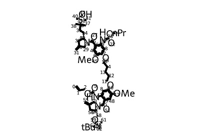 C=CCOC(=O)Nc1cc(OCCCCCOc2cc(NC(=O)OCCC)c(C(=O)N3CC(=C)C[C@H]3CCC(C)(C)[Si](C)(C)O)cc2OC)c(OC)cc1C(=O)N1CC(=C)C[C@H]1CO[Si](C)(C)C(C)(C)C